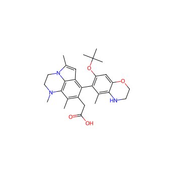 Cc1c2c(cc(OC(C)(C)C)c1-c1c(CC(=O)O)c(C)c3c4c1cc(C)n4CCN3C)OCCN2